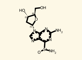 Nc1nc([S+](N)[O-])c2ncn([C@@H]3C[C@H](O)[C@@H](CO)O3)c2n1